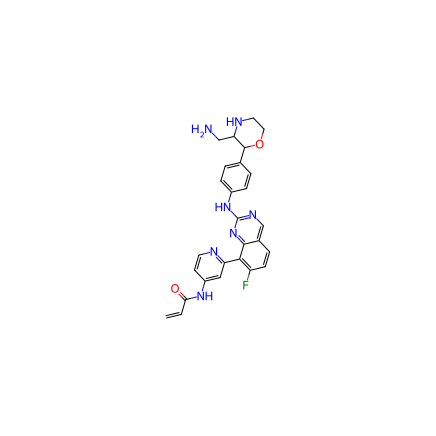 C=CC(=O)Nc1ccnc(-c2c(F)ccc3cnc(Nc4ccc(C5OCCNC5CN)cc4)nc23)c1